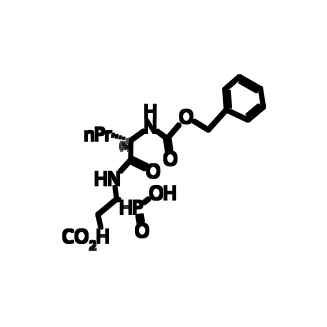 CCC[C@H](NC(=O)OCc1ccccc1)C(=O)NC(CC(=O)O)[PH](=O)O